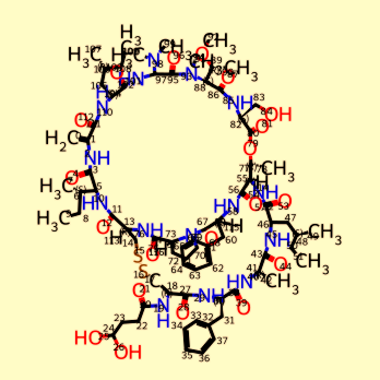 C=C1NC(=O)C([C@@H](C)CC)NC(=O)[C@@H]2CSSC[C@H](NC(=O)CCC(O)O)C(=O)N[C@H](Cc3ccccc3)C(=O)N[C@H](C)C(=O)NC(C[C@@H](C)CC)C(=O)N[C@@H](C(=O)N[C@H](Cc3ccccc3)C(=O)N3CCC[C@H]3C(=O)N2)[C@@H](C)OC(=O)[C@H](CO)NC(=O)[C@H]([C@@H](C)OC)N(C)C(=O)C(N(C)C)NC(=O)[C@H](C[C@H](C)CC)NC1=O